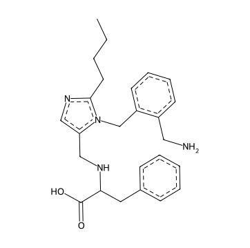 CCCCc1ncc(CNC(Cc2ccccc2)C(=O)O)n1Cc1ccccc1CN